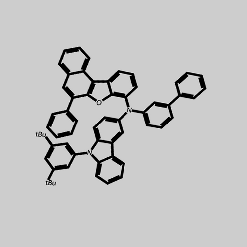 CC(C)(C)c1cc(-n2c3ccccc3c3cc(N(c4cccc(-c5ccccc5)c4)c4cccc5c4oc4c(-c6ccccc6)cc6ccccc6c45)ccc32)cc(C(C)(C)C)c1